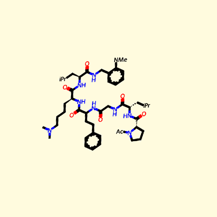 CNc1ccccc1CNC(=O)[C@H](CC(C)C)NC(=O)[C@H](CCCCN(C)C)NC(=O)C(CCc1ccccc1)NC(=O)CNC(=O)[C@H](CC(C)C)NC(=O)[C@@H]1CCCN1C(C)=O